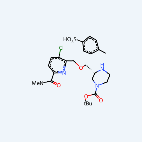 CNC(=O)c1ccc(Cl)c(COC[C@H]2CN(C(=O)OC(C)(C)C)CCN2)n1.Cc1ccc(S(=O)(=O)O)cc1